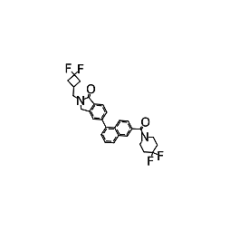 O=C(c1ccc2c(-c3ccc4c(c3)CN(CC3CC(F)(F)C3)C4=O)cccc2c1)N1CCC(F)(F)CC1